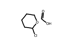 ClC1CCCCO1.O=CO